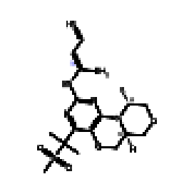 C[C@@H]1COC[C@H]2COc3c(nc(N/C(N)=C/C=N)nc3C(C)(C)S(C)(=O)=O)N21